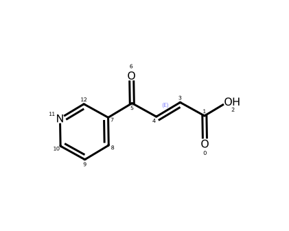 O=C(O)/C=C/C(=O)c1cccnc1